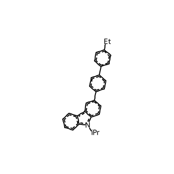 CCc1ccc(-c2ccc(-c3ccc4c(c3)c3ccccc3n4C(C)C)cc2)cc1